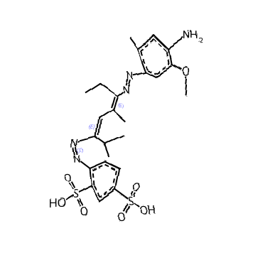 CC\C(N=Nc1cc(OC)c(N)cc1C)=C(C)/C=C(/N=N\c1ccc(S(=O)(=O)O)cc1S(=O)(=O)O)C(C)C